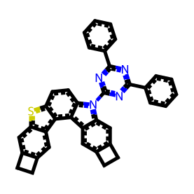 c1ccc(-c2nc(-c3ccccc3)nc(-n3c4cc5c(cc4c4c6c(ccc43)sc3cc4c(cc36)CC4)CC5)n2)cc1